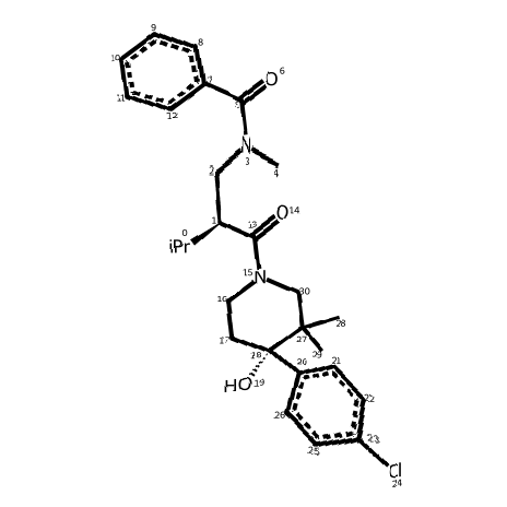 CC(C)[C@@H](CN(C)C(=O)c1ccccc1)C(=O)N1CC[C@](O)(c2ccc(Cl)cc2)C(C)(C)C1